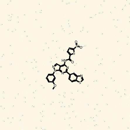 COc1cccc(-n2ncc3c(NC(=O)c4ccc([N+](=O)[O-])s4)nc(-c4ccc5scnc5c4)nc32)c1